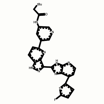 CC(C)(C)CC(=O)Nc1cncc(-c2ccc3[nH]nc(-c4nc5c(-c6ccc(F)s6)ccnc5[nH]4)c3n2)c1